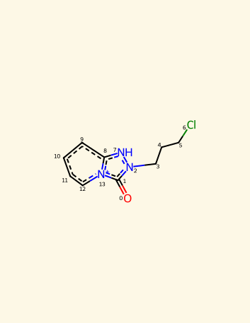 O=c1n(CCCCl)[nH]c2cccc[n+]12